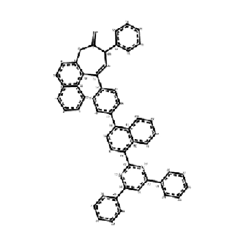 C=C1Cc2ccc3ccccc3c2C(c2ccc(-c3ccc(-c4nc(-c5ccccc5)cc(-c5ccccc5)n4)c4ccccc34)cc2)=CC1c1ccccc1